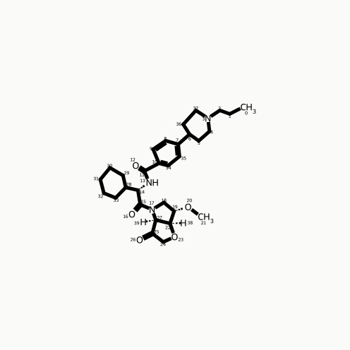 CCCN1CCC(c2ccc(C(=O)N[C@H](C(=O)N3C[C@H](OC)[C@H]4OCC(=O)[C@H]43)C3CCCCC3)cc2)CC1